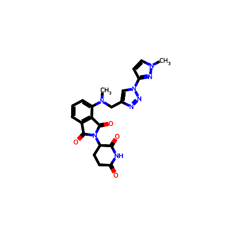 CN(Cc1cn(-c2ccn(C)n2)nn1)c1cccc2c1C(=O)N(C1CCC(=O)NC1=O)C2=O